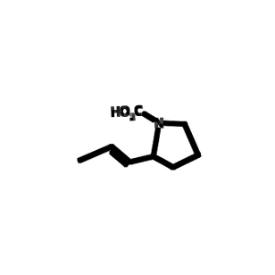 CC=CC1CCCN1C(=O)O